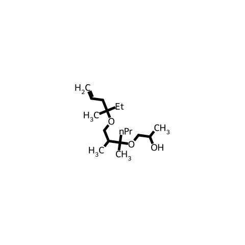 C=CCC(C)(CC)OCC(C)C(C)(CCC)OCC(C)O